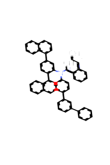 C=C/C=c1/cccc/c1=C(/C)N(c1ccc(-c2cccc(-c3ccccc3)c2)cc1)c1cc(-c2cccc3ccccc23)ccc1-c1cccc2ccccc12